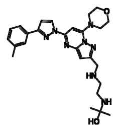 Cc1cccc(-c2ccn(-c3cc(N4CCOCC4)n4nc(CNCCNC(C)(C)O)cc4n3)n2)c1